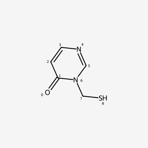 O=c1ccncn1CS